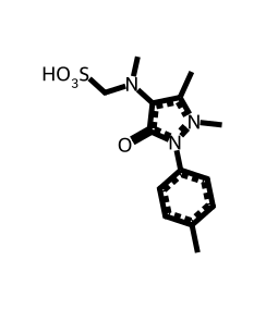 Cc1ccc(-n2c(=O)c(N(C)CS(=O)(=O)O)c(C)n2C)cc1